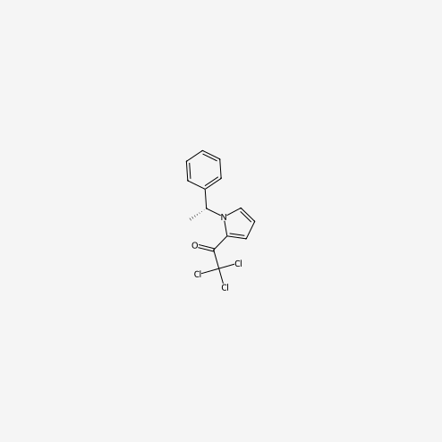 C[C@H](c1ccccc1)n1cccc1C(=O)C(Cl)(Cl)Cl